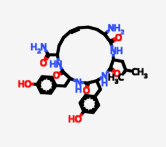 CC(C)CC1NC(=O)C(N)CC/C=C\CCC(C(N)=O)NC(=O)C(Cc2ccc(O)cc2)NC(=O)C(Cc2ccc(O)cc2)NC1=O